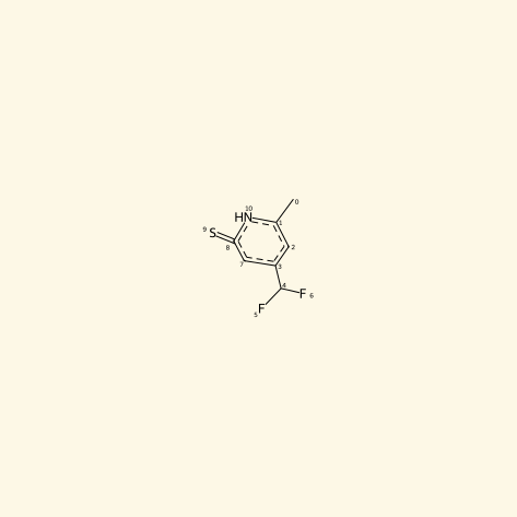 Cc1cc(C(F)F)cc(=S)[nH]1